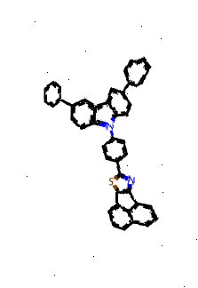 c1ccc(-c2ccc3c(c2)c2cc(-c4ccccc4)ccc2n3-c2ccc(-c3nc4c(s3)-c3cccc5cccc-4c35)cc2)cc1